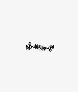 CN(C)c1ccc(/C=C/c2cc[n+](CCSSCC[n+]3ccc(/C=C/c4ccc(N(C)C)c5ccccc45)cc3)cc2)c2ccccc12